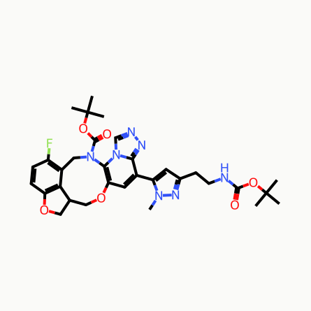 Cn1nc(CCNC(=O)OC(C)(C)C)cc1-c1cc2c(n3cnnc13)N(C(=O)OC(C)(C)C)Cc1c(F)ccc3c1C(CO3)CO2